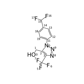 OCc1c(C(F)(F)F)nnn1-c1ccc(C(F)F)cc1